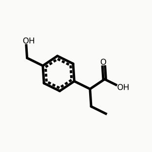 CCC(C(=O)O)c1ccc(CO)cc1